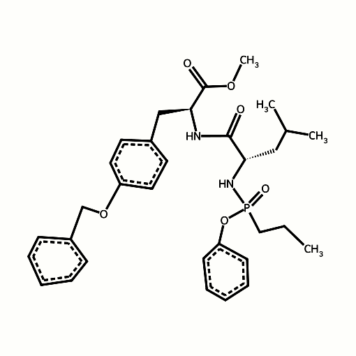 CCCP(=O)(N[C@@H](CC(C)C)C(=O)N[C@@H](Cc1ccc(OCc2ccccc2)cc1)C(=O)OC)Oc1ccccc1